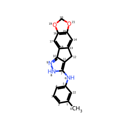 Cc1cccc(Nc2[nH]nc3c2Cc2cc4c(cc2-3)OCO4)c1